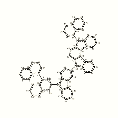 c1ccc2c(-c3nc(-n4c5ccccc5c5cc(-n6c7ccccc7c7c8c9ccccc9n(-c9cccc%10ccccc9%10)c8ccc76)ccc54)nc4ccccc34)cccc2c1